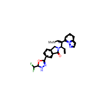 C=CC(/C(=C\NC)c1cccc2ccnn12)N1Cc2ccc(C3=NNC(C(F)F)O3)cc2C1=O